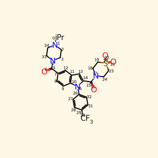 CC(C)N1CCN(C(=O)c2ccc3c(c2)cc(C(=O)N2CCS(=O)(=O)CC2)n3-c2ccc(C(F)(F)F)cc2)CC1